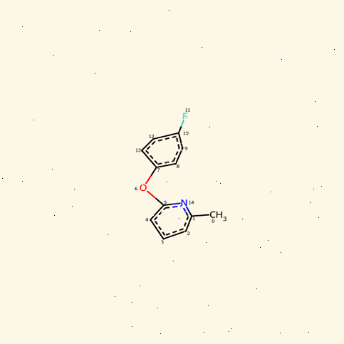 Cc1cccc(Oc2ccc(F)cc2)n1